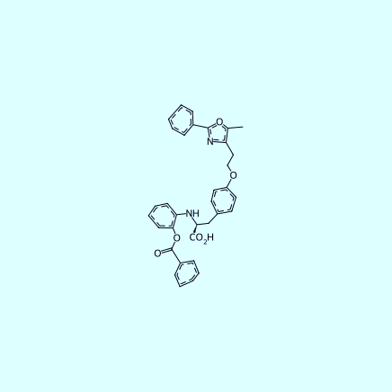 Cc1oc(-c2ccccc2)nc1CCOc1ccc(C[C@H](Nc2ccccc2OC(=O)c2ccccc2)C(=O)O)cc1